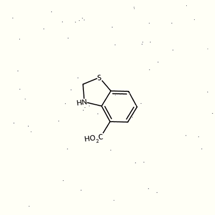 O=C(O)c1cccc2c1NCS2